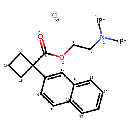 CC(C)N(CCOC(=O)C1(c2ccc3ccccc3c2)CCC1)C(C)C.Cl